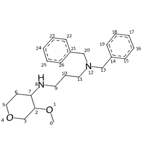 COC1COCCC1NCCCN(Cc1ccccc1)Cc1ccccc1